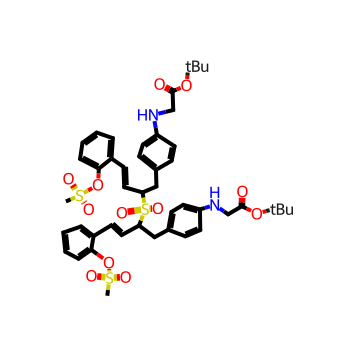 CC(C)(C)OC(=O)CNc1ccc(CC(/C=C/c2ccccc2OS(C)(=O)=O)S(=O)(=O)C(/C=C/c2ccccc2OS(C)(=O)=O)Cc2ccc(NCC(=O)OC(C)(C)C)cc2)cc1